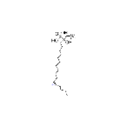 CCCCC/C=C\CCCCCCCCCCC(O)(C[N+](C)(C)C)P(=O)(O)O